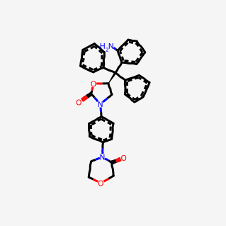 Nc1ccccc1C(c1ccccc1)(c1ccccc1)[C@H]1CN(c2ccc(N3CCOCC3=O)cc2)C(=O)O1